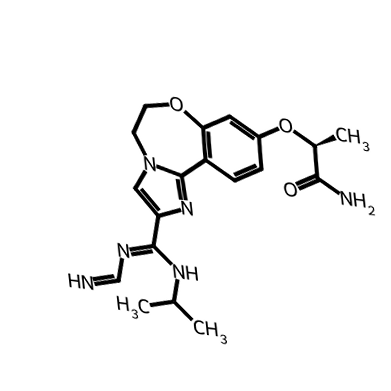 CC(C)N/C(=N\C=N)c1cn2c(n1)-c1ccc(O[C@@H](C)C(N)=O)cc1OCC2